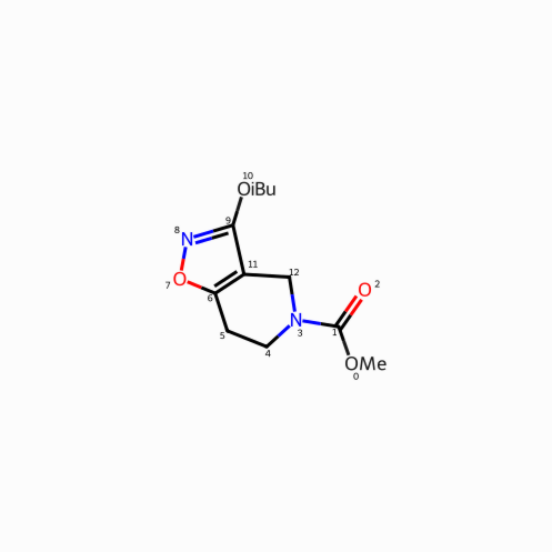 COC(=O)N1CCc2onc(OCC(C)C)c2C1